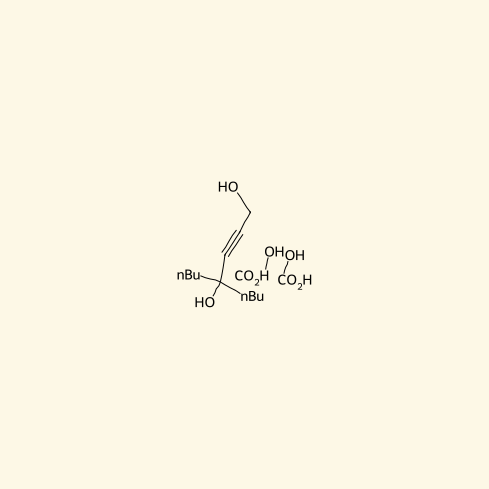 CCCCC(O)(C#CCO)CCCC.O=C(O)O.O=C(O)O